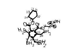 BCc1c(B)c(C(=O)OC2CCCCC2)c(C(=O)OCCS(=O)(=O)O)c(CB)c1CB